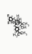 CC(CO)NC[C@@H](O)[C@H](Cc1cc(F)cc(F)c1)NC(=O)Cc1ccc(C(C)C)cc1